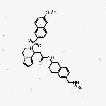 CCC(C)NCc1ccc2c(c1)CCC(NC(=O)CC1c3cccn3CCN1S(=O)(=O)c1ccc3cc(OC)ccc3c1)C2